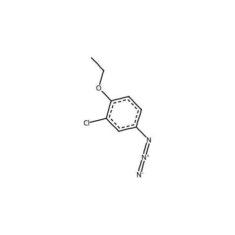 CCOc1ccc(N=[N+]=[N-])cc1Cl